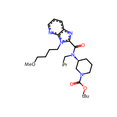 COCCCCn1c(C(=O)N(CC(C)C)[C@H]2CCCN(C(=O)OC(C)(C)C)C2)nc2cccnc21